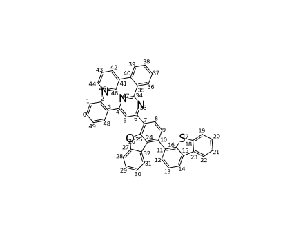 c1ccc(-c2cc(-c3ccc(-c4cccc5c4sc4ccccc45)c4c3oc3ccccc34)nc(-c3ccccc3-c3cccnc3)n2)cc1